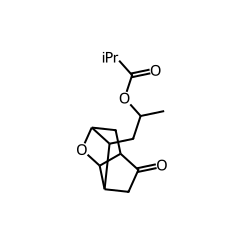 CC(CC1C2CC3C(=O)CC1C3O2)OC(=O)C(C)C